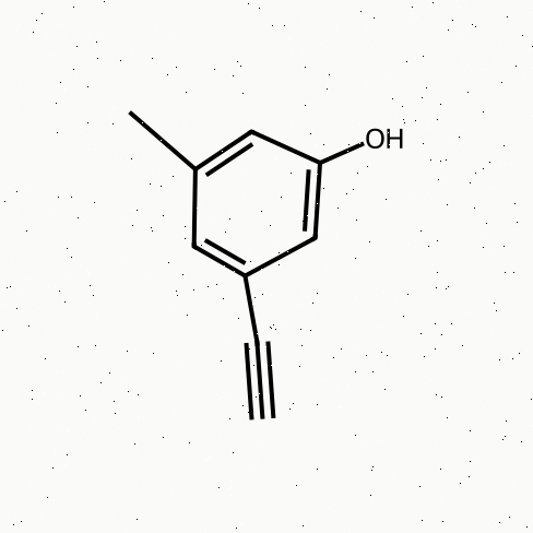 C#Cc1cc(C)cc(O)c1